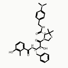 Cc1c(O)cccc1C(=O)N[C@@H](Cc1ccccc1)[C@H](O)C(=O)N1CSC(C)(C)[C@H]1C(=O)NCc1ccc(N(C)C)cc1